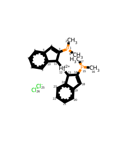 CP(C)C1=Cc2ccccc2[CH]1[Hf+2][CH]1C(P(C)C)=Cc2ccccc21.[Cl-].[Cl-]